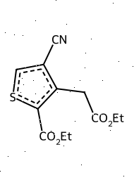 CCOC(=O)Cc1c(C#N)csc1C(=O)OCC